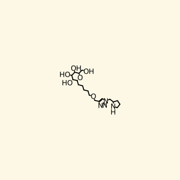 OCC1OC(CCCCCOCc2cn(CC3CCCN3)nn2)C(O)C(O)C1O